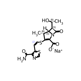 C[C@@H](O)[C@H]1C(=O)N2C(C(=O)[O-])=C(S/C=C\c3scnc3C(N)=O)[C@H](C)[C@H]12.[Na+]